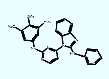 COc1cc(Nc2nccc(-n3c(Nc4ccccc4)nc4ccccc43)n2)cc(OC)c1OC